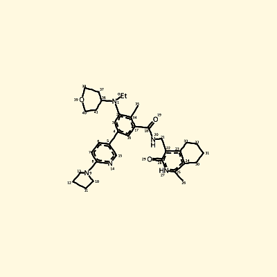 CCN(c1cc(-c2ccc(N3CCCC3)nc2)cc(C(=O)NCc2c3c(c(C)[nH]c2=O)CCCC3)c1C)C1CCOCC1